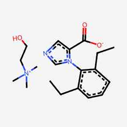 CCc1cccc(CC)c1-n1cncc1C(=O)[O-].C[N+](C)(C)CCO